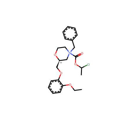 CCOc1ccccc1OC[C@@H]1C[N+](Cc2ccccc2)(C(=O)OC(C)Cl)CCO1